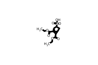 CCOC(=O)C1C2CC(C1C(=O)OCC)C(S(=O)(=O)O)C2